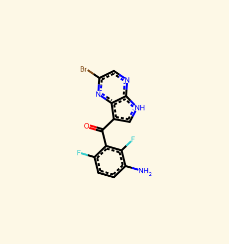 Nc1ccc(F)c(C(=O)c2c[nH]c3ncc(Br)nc23)c1F